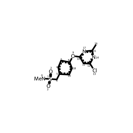 CNS(=O)(=O)Cc1ccc(Oc2cc(Cl)nc(C)n2)cc1